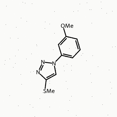 COc1cccc(-n2cc(SC)nn2)c1